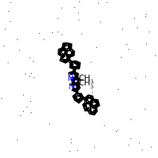 CC1(C)c2cc(-c3cccc(C4=C5C=CC6=CC=CC7=CC=C(C=C4)C5C67)c3)cnc2-c2ncc(-c3cccc(-c4ccc5ccc6cccc7ccc4c5c67)c3)cc21